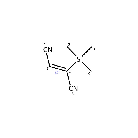 C[Si](C)(C)/C(C#N)=C\C#N